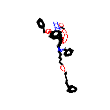 O=C1COc2c(C(=O)CN(CCCCCCOCCCCc3ccccc3)Cc3ccccc3)ccc(OCc3ccccc3)c2N1